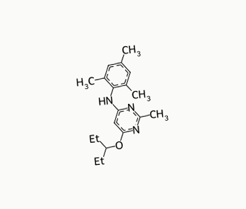 CCC(CC)Oc1cc(Nc2c(C)cc(C)cc2C)nc(C)n1